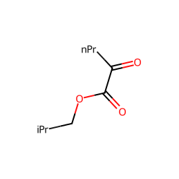 CCCC(=O)C(=O)OCC(C)C